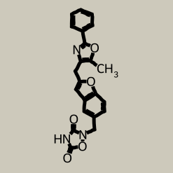 Cc1oc(-c2ccccc2)nc1Cc1cc2cc(Cn3oc(=O)[nH]c3=O)ccc2o1